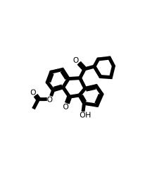 CC(=O)Oc1cccc2c1C(=O)c1c(O)cccc1C2C(=O)C1CCCCC1